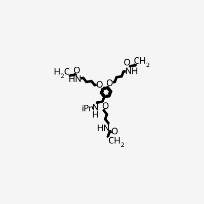 C=CC(=O)NCCCCOc1ccc(C(CNC(C)C)OCCCCNC(=O)C=C)cc1OCCCCNC(=O)C=C